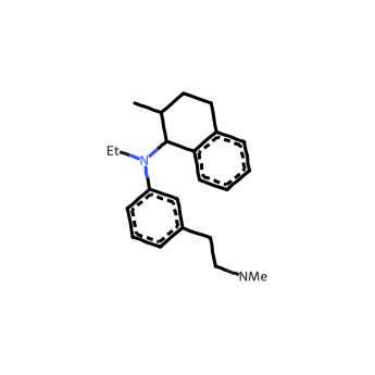 CCN(c1cccc(CCNC)c1)C1c2ccccc2CCC1C